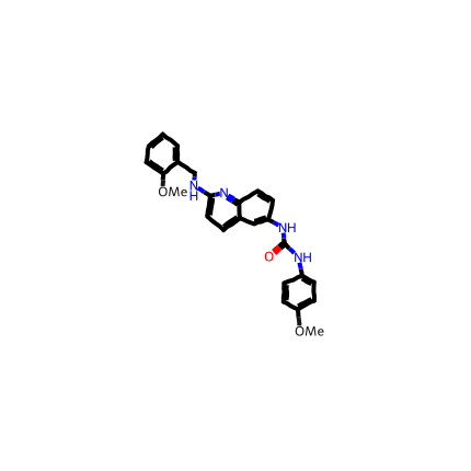 COc1ccc(NC(=O)Nc2ccc3nc(NCc4ccccc4OC)ccc3c2)cc1